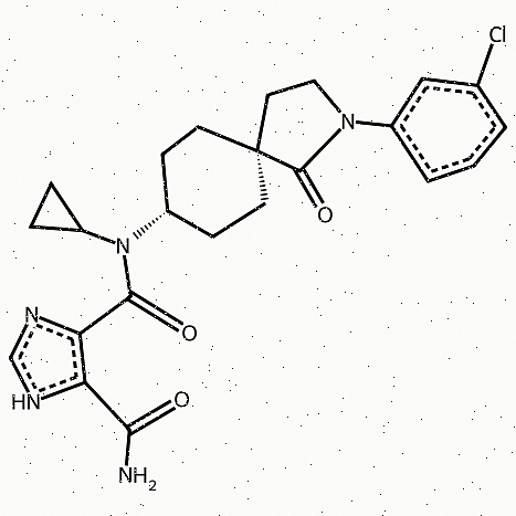 NC(=O)c1[nH]cnc1C(=O)N(C1CC1)[C@H]1CC[C@@]2(CCN(c3cccc(Cl)c3)C2=O)CC1